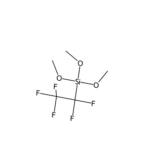 CO[Si](OC)(OC)C(F)(F)C(F)(F)F